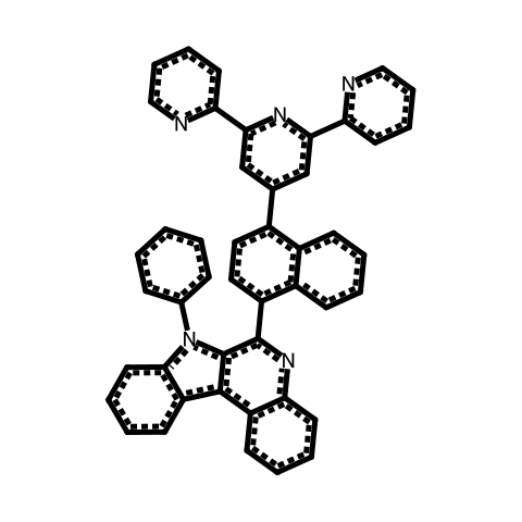 c1ccc(-n2c3ccccc3c3c4ccccc4nc(-c4ccc(-c5cc(-c6ccccn6)nc(-c6ccccn6)c5)c5ccccc45)c32)cc1